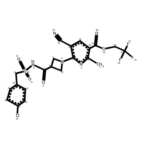 Cc1nc(N2CC(C(=O)NS(=O)(=O)Cc3ccc(Cl)cc3)C2)c(C#N)cc1C(=O)OCC(F)(F)F